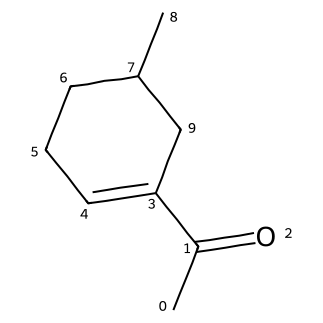 CC(=O)C1=CCCC(C)C1